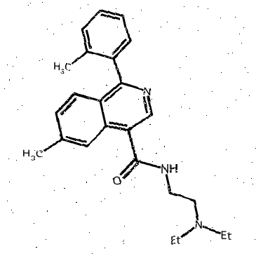 CCN(CC)CCNC(=O)c1cnc(-c2ccccc2C)c2ccc(C)cc12